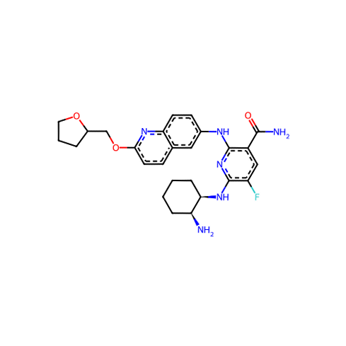 NC(=O)c1cc(F)c(N[C@@H]2CCCC[C@@H]2N)nc1Nc1ccc2nc(OCC3CCCO3)ccc2c1